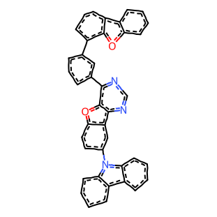 c1cc(-c2cccc3c2oc2ccccc23)cc(-c2ncnc3c2oc2ccc(-n4c5ccccc5c5ccccc54)cc23)c1